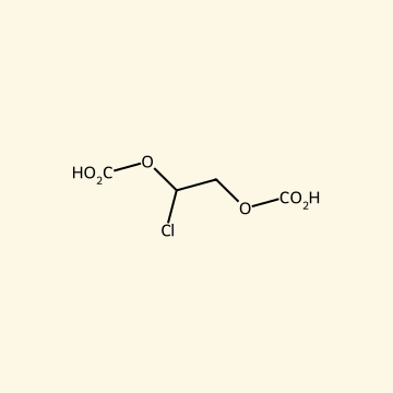 O=C(O)OCC(Cl)OC(=O)O